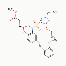 CCOc1nn(CC)cc1S(=O)(=O)N1C[C@H](CCC(=O)OC)Oc2ccc(/C=C/c3ccccc3OC)cc21